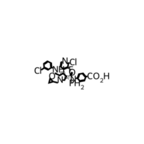 O=C(O)c1ccc(N(P)C(=O)[C@@H]2CN(CC3CC3)C(C(=O)Nc3cccc(Cl)c3)[C@H]2c2ccnc(Cl)c2F)cc1